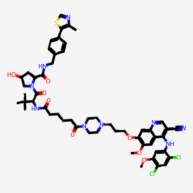 COc1cc(Nc2c(C#N)cnc3cc(OCCCN4CCN(C(=O)CCCCC(=O)NC(C(=O)N5CC(O)CC5C(=O)NCc5ccc(-c6scnc6C)cc5)C(C)(C)C)CC4)c(OC)cc23)c(Cl)cc1Cl